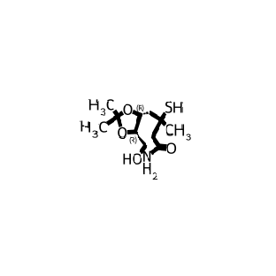 CC(S)(CC(N)=O)C[C@H]1OC(C)(C)O[C@@H]1CO